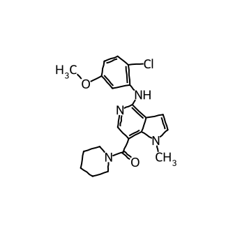 COc1ccc(Cl)c(Nc2ncc(C(=O)N3CCCCC3)c3c2ccn3C)c1